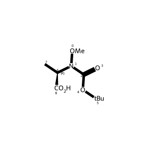 CON(C(=O)OC(C)(C)C)[C@H](C)C(=O)O